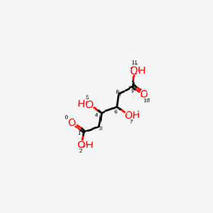 O=C(O)CC(O)C(O)CC(=O)O